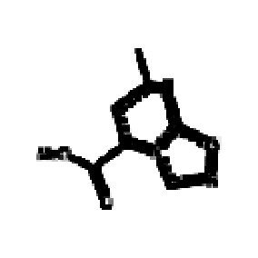 COC(=O)c1cc(C)nc2nncn12